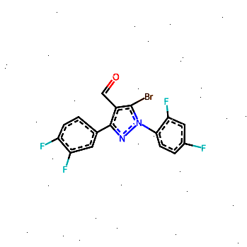 O=Cc1c(-c2ccc(F)c(F)c2)nn(-c2ccc(F)cc2F)c1Br